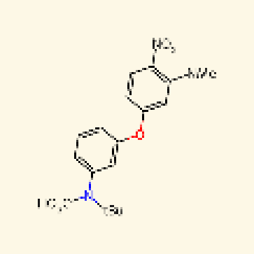 CNc1cc(Oc2cccc(N(C(=O)O)C(C)(C)C)c2)ccc1[N+](=O)[O-]